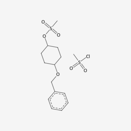 CS(=O)(=O)Cl.CS(=O)(=O)OC1CCC(OCc2ccccc2)CC1